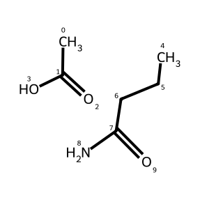 CC(=O)O.CCCC(N)=O